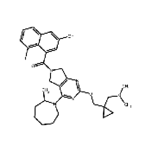 CC1CCCCCN1c1nc(OCC2(CN(C)C)CC2)nc2c1CN(C(=O)c1cc(O)cc3cccc(I)c13)C2